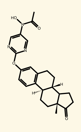 CC(=O)N(O)c1cnc(Oc2ccc3c(c2)CC[C@@H]2C4CCC(=O)[C@]4(C)CC[C@@H]32)nc1